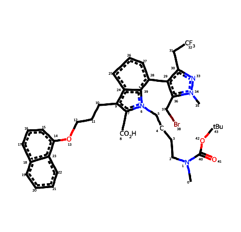 CN(CCCCn1c(C(=O)O)c(CCCOc2cccc3ccccc23)c2cccc(-c3c(CC(F)(F)F)nn(C)c3CBr)c21)C(=O)OC(C)(C)C